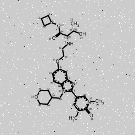 Cc1cc(-c2nc3cc(OCCN[C@H](C(=O)OC4CCC4)[C@H](C)O)ccc3n2CC2CCOCC2)cn(C)c1=O